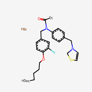 Br.CCCCCCCCCCCCCCOc1ccc(CN(C(=O)CC)c2ccc(CN3C=CSC3)cc2)cc1F